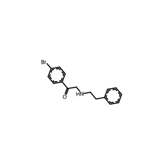 O=C(CNCCc1ccccc1)c1ccc(Br)cc1